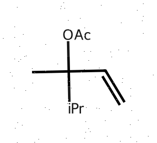 C=CC(C)(OC(C)=O)C(C)C